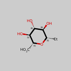 CC[C@@H]1O[C@H](C(=O)O)[C@@H](O)[C@H](O)[C@H]1O